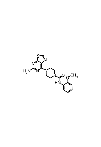 COc1ccccc1NC(=O)N1CCN(c2nc(N)nc3scnc23)CC1